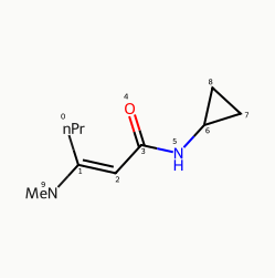 CCC/C(=C\C(=O)NC1CC1)NC